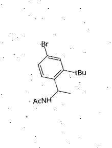 CC(=O)NC(C)c1ccc(Br)cc1C(C)(C)C